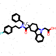 CC1(C(=O)N(CCc2ccc(F)cc2)Cc2ccccc2)CCc2c(c3ccccc3n2CC(=O)O)C1